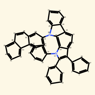 c1ccc(-c2c(-c3ccccc3)n(-c3ccccc3)c3c2ccc2c4ccccc4n(-c4ccc5c(ccc6ccccc65)c4)c23)cc1